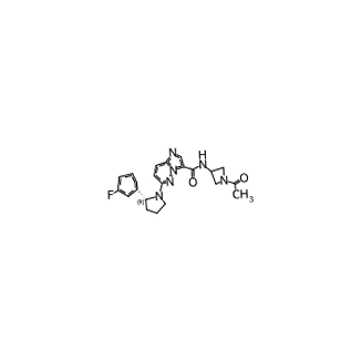 CC(=O)N1CC(NC(=O)c2cnc3ccc(N4CCC[C@@H]4c4cccc(F)c4)nn23)C1